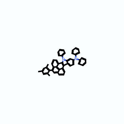 Cc1cc(C)c(-c2cc3cccc4c3c3c2cccc3c2c4c3ccc(N(c4ccccc4)c4ccccc4)cc3n2-c2ccccc2)c(C)c1